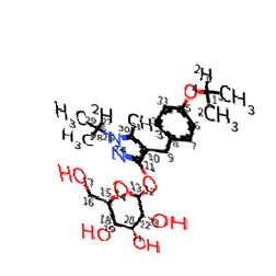 [2H]C(C)(C)Oc1ccc(Cc2c(O[C@@H]3O[C@H](CO)[C@@H](O)[C@H](O)[C@H]3O)nn(C([2H])(C)C)c2C)cc1